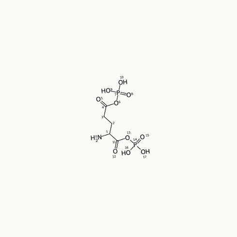 NC(CCC(=O)OP(=O)(O)O)C(=O)OP(=O)(O)O